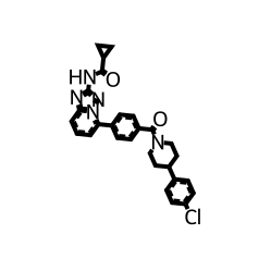 O=C(Nc1nc2cccc(-c3ccc(C(=O)N4CCC(c5ccc(Cl)cc5)CC4)cc3)n2n1)C1CC1